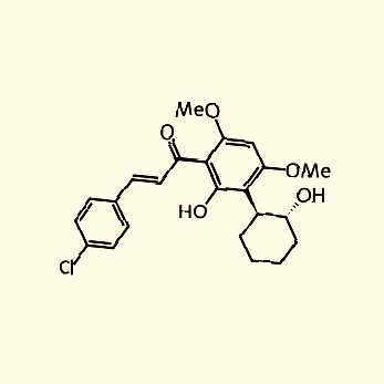 COc1cc(OC)c([C@@H]2CCCC[C@H]2O)c(O)c1C(=O)/C=C/c1ccc(Cl)cc1